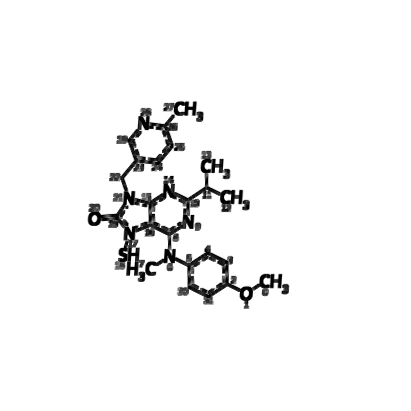 COc1ccc(N(C)c2nc(C(C)C)nc3c2n(S)c(=O)n3Cc2ccc(C)nc2)cc1